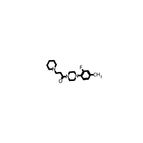 Cc1ccc(N2CCN(C(=O)CCN3CCCCC3)CC2)c(F)c1